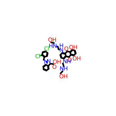 O=C(O)c1nn(Cc2ccc(Cl)cc2Cl)c2ccccc12.O=C1c2c(O)ccc(O)c2C(=O)c2c(NCCNCCO)ccc(NCCNCCO)c21